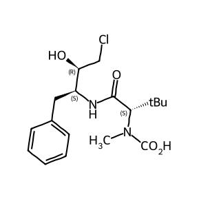 CN(C(=O)O)[C@H](C(=O)N[C@@H](Cc1ccccc1)[C@@H](O)CCl)C(C)(C)C